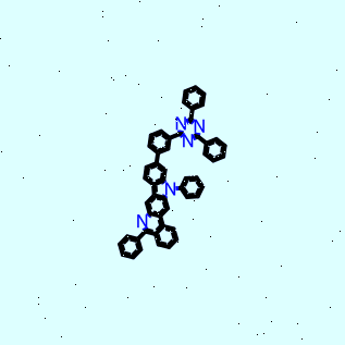 c1ccc(-c2nc(-c3ccccc3)nc(-c3cccc(-c4ccc5c6cc7nc(-c8ccccc8)c8ccccc8c7cc6n(-c6ccccc6)c5c4)c3)n2)cc1